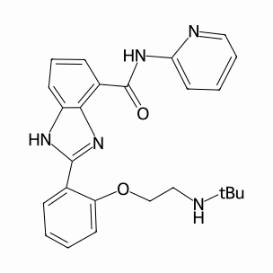 CC(C)(C)NCCOc1ccccc1-c1nc2c(C(=O)Nc3ccccn3)cccc2[nH]1